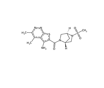 Cc1nnc2sc(C(=O)N3C[C@@H]4C[C@@H]3CN4S(C)(=O)=O)c(N)c2c1C